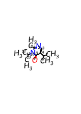 Cc1ncc(C(C)C)c(=O)n1C(C)C